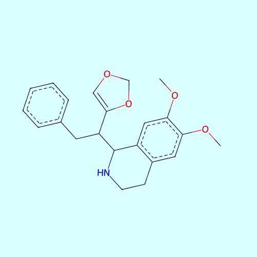 COc1cc2c(cc1OC)C(C(Cc1ccccc1)C1=COCO1)NCC2